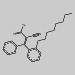 CCCCCCCCc1ccccc1C(=C(C#N)C(=O)O)c1ccccc1